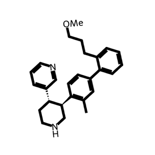 COCCCc1ccccc1-c1ccc([C@H]2CNCC[C@@H]2c2cccnc2)c(C)c1